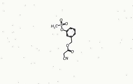 CS(=O)(=O)Oc1cccc(COC(=O)CC#N)c1